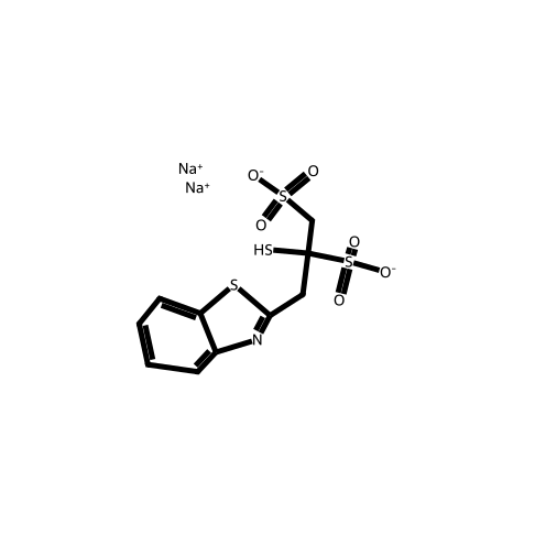 O=S(=O)([O-])CC(S)(Cc1nc2ccccc2s1)S(=O)(=O)[O-].[Na+].[Na+]